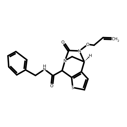 C=CCON1C(=O)N2C[C@@H]1c1ccsc1C2C(=O)NCc1ccccc1